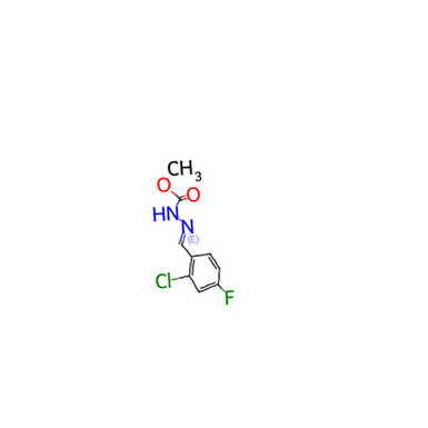 COC(=O)N/N=C/c1ccc(F)cc1Cl